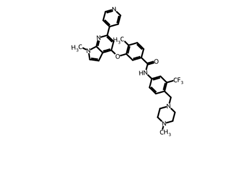 Cc1ccc(C(=O)Nc2ccc(CN3CCN(C)CC3)c(C(F)(F)F)c2)cc1Oc1cc(-c2ccncc2)nc2c1ccn2C